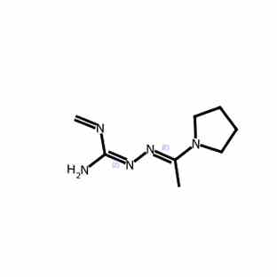 C=N/C(N)=N\N=C(/C)N1CCCC1